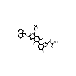 O=C(O)Nc1nc2c(-c3c(F)cc4c(OCC(F)(F)F)nc(OCC56CCCN5CCC6)nc4c3F)ccc(F)c2s1